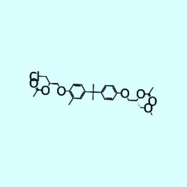 COC[C@H](COc1ccc(C(C)(C)c2ccc(OC[C@H](CCl)OC(C)=O)c(C)c2)cc1)OC(C)=O